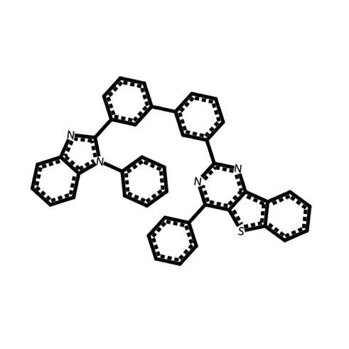 c1ccc(-c2nc(-c3cccc(-c4cccc(-c5nc6ccccc6n5-c5ccccc5)c4)c3)nc3c2sc2ccccc23)cc1